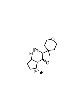 CCC1CC[C@@H](C(C)C)N1C(=O)C(C(C)C)C1(C)CCOCC1